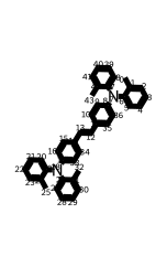 Cc1ccccc1N(c1ccc(C=Cc2ccc(N(c3ccccc3C)c3ccccc3C)cc2)cc1)c1ccccc1C